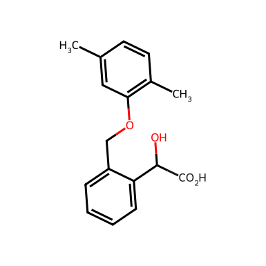 Cc1ccc(C)c(OCc2ccccc2C(O)C(=O)O)c1